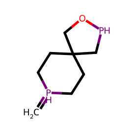 C=[PH]1CCC2(CC1)COPC2